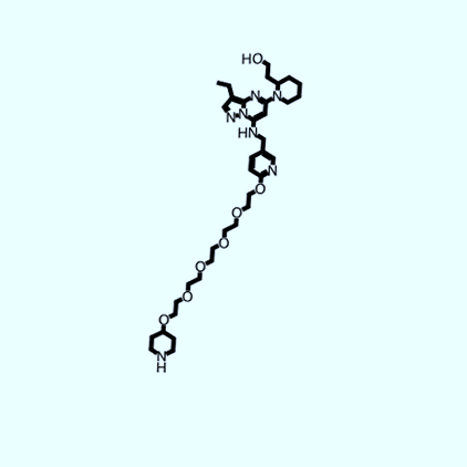 CCc1cnn2c(NCc3ccc(OCCOCCOCCOCCOCCOC4CCNCC4)nc3)cc(N3CCCCC3CCO)nc12